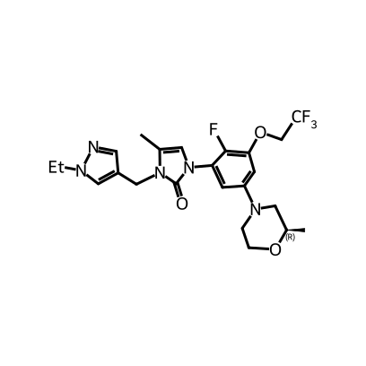 CCn1cc(Cn2c(C)cn(-c3cc(N4CCO[C@H](C)C4)cc(OCC(F)(F)F)c3F)c2=O)cn1